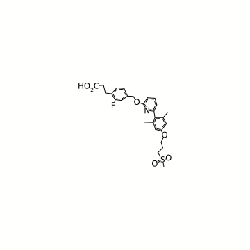 Cc1cc(OCCCS(C)(=O)=O)cc(C)c1-c1cccc(OCc2ccc(CCC(=O)O)c(F)c2)n1